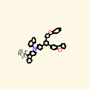 CC1(C)c2ccccc2-c2ccc(N(c3ccc(-c4cc(-c5ccc6oc7ccccc7c6c5)cc(-c5ccc6oc7ccccc7c6c5)c4)cc3)c3cccc4ccccc34)cc21